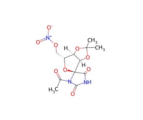 CC(=O)N1C(=O)NC(=O)[C@]12O[C@H](CO[N+](=O)[O-])[C@H]1OC(C)(C)O[C@H]12